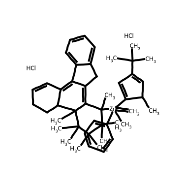 Cl.Cl.[CH2]=[Zr]([CH3])([C]1=CC(C(C)(C)C)=CC1C)([c]1ccccc1)[C]1(C)C2=C3Cc4ccccc4C3=C3C=CCCC3C2(C)C(C)(C)C(C)(C)C1(C)C